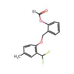 CCC(=O)Oc1ccccc1COc1ccc(C)cc1C(F)F